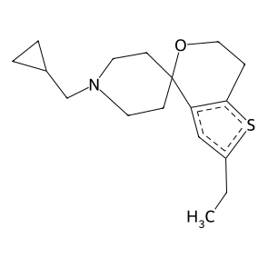 CCc1cc2c(s1)CCOC21CCN(CC2CC2)CC1